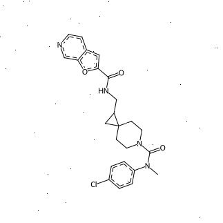 CN(C(=O)N1CCC2(CC1)CC2CNC(=O)c1cc2ccncc2o1)c1ccc(Cl)cc1